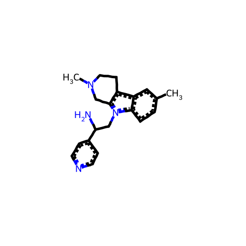 Cc1ccc2c(c1)c1c(n2CC(N)c2ccncc2)CN(C)CC1